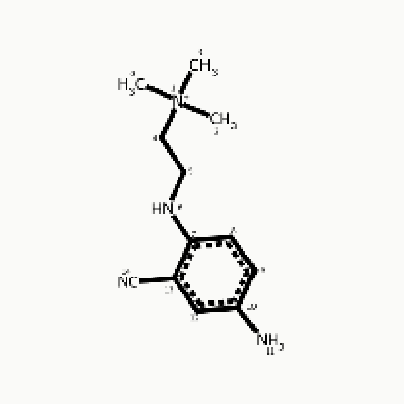 C[N+](C)(C)CCNc1ccc(N)cc1C#N